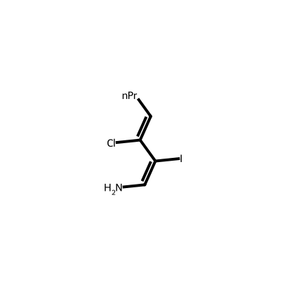 CCC/C=C(Cl)/C(I)=C\N